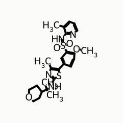 COc1ccc(-c2sc(NC(C)(C)C3CCOCC3)nc2C)cc1S(=O)(=O)Nc1ncccc1C